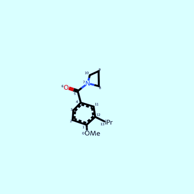 COc1ccc(C(=O)N2CCC2)cc1C(C)C